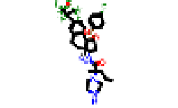 CCCC(C)(C(=O)N[C@@H]1CC[C@@]2(S(=O)(=O)c3ccc(F)cc3)c3ccc(C(F)(C(F)(F)F)C(F)(F)F)cc3CC[C@@H]12)N1CCNCC1